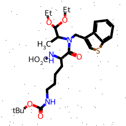 CCOC(OCC)C(C)N(Cc1csc2ccccc12)C(=O)C(CCCCNC(=O)OC(C)(C)C)NC(=O)O